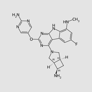 CNc1cc(F)cc2c1[nH]c1nc(Oc3cnc(N)nc3)nc(N3C[C@H]4C[C@@H](N)[C@H]4C3)c12